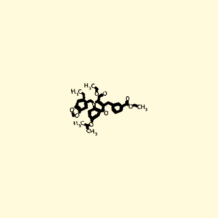 CCOC(=O)c1cccc(Cc2c(C(=O)OCC)n(Cc3cc4c(cc3CC)OCO4)c3ccc(OC(C)C)cc3c2=O)c1